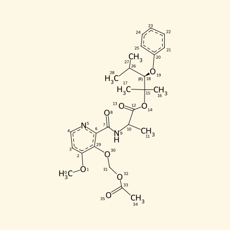 COc1ccnc(C(=O)NC(C)C(=O)OC(C)(C)[C@H](Oc2ccccc2)C(C)C)c1OCOC(C)=O